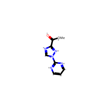 COC(=O)c1ncn(-c2ncccn2)n1